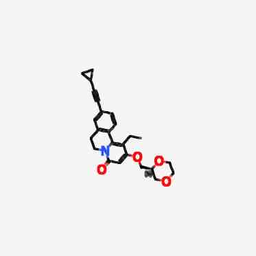 CCc1c(OC[C@@H]2COCCO2)cc(=O)n2c1-c1ccc(C#CC3CC3)cc1CC2